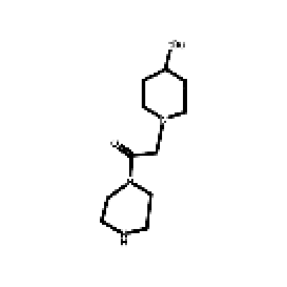 CC(C)(C)C1CCN(CC(=O)N2CCNCC2)CC1